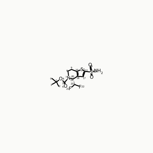 CC(C)(C)OC(=O)N1CCc2sc(S(N)(=O)=O)cc2[C@@H]1C(F)F